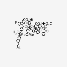 CC1=C(CC(=O)O)c2cc(F)ccc2/C1=C\c1ccc([S+](C)[O-])cc1.COc1ccc2c(c1)c(CC(=O)O)c(C)n2C(=O)c1ccc(Cl)cc1.COc1ccc2cc(CCC(C)=O)ccc2c1.O=C(O)Cc1ccccc1Nc1c(Cl)cccc1Cl.O=C(c1ccccc1)c1ccc2n1CCC2C(=O)O